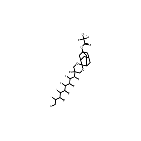 CC(F)(F)C(=O)OC12CC3CC(C1)C1(OCC(F)(C(F)C(F)C(F)C(F)C(F)C(F)C(F)C(F)CF)CO1)C(C3)C2